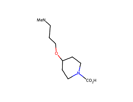 CNCCCOC1CCN(C(=O)O)CC1